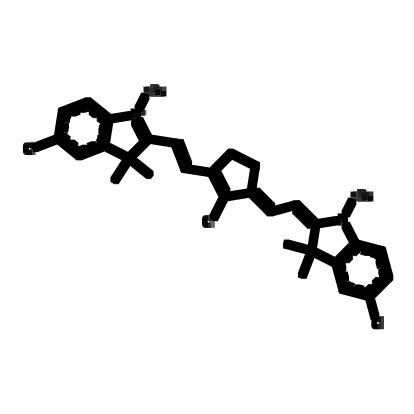 CCCCN1/C(=C/C=C2\CCC(/C=C/C3=[N+](CCCC)c4ccc(Cl)cc4C3(C)C)=C2Cl)C(C)(C)c2cc(Cl)ccc21